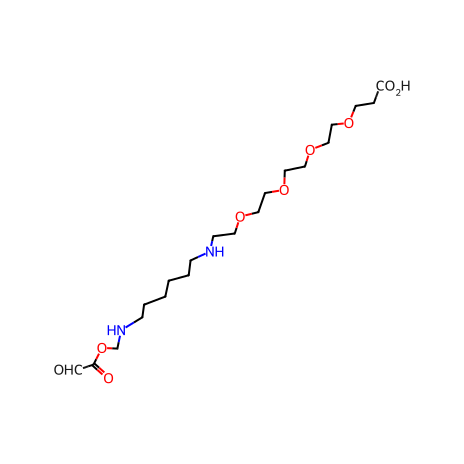 O=CC(=O)OCNCCCCCCNCCOCCOCCOCCOCCC(=O)O